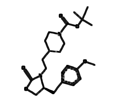 COc1ccc(C[C@H]2COC(=O)N2CCC2CCN(C(=O)OC(C)(C)C)CC2)cc1